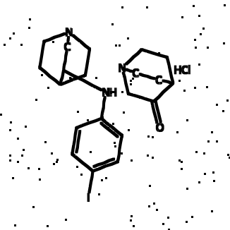 Cl.Ic1ccc(NC2CN3CCC2CC3)cc1.O=C1CN2CCC1CC2